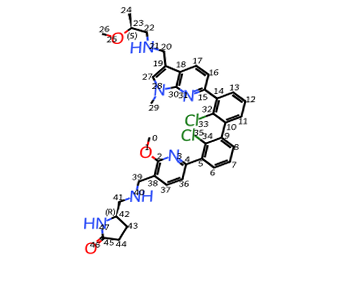 COc1nc(-c2cccc(-c3cccc(-c4ccc5c(CNC[C@H](C)OC)cn(C)c5n4)c3Cl)c2Cl)ccc1CNC[C@H]1CCC(=O)N1